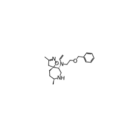 C=CN(CCOCc1ccccc1)[C@@H]1CN[C@@H](C)CC[C@]12CC(C)=NO2